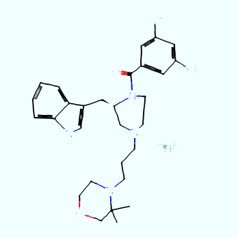 CC1(C)COCCN1CCCN1CCN(C(=O)c2cc(C(F)(F)F)cc(C(F)(F)F)c2)[C@H](Cc2c[nH]c3ccccc23)C1.Cl.Cl